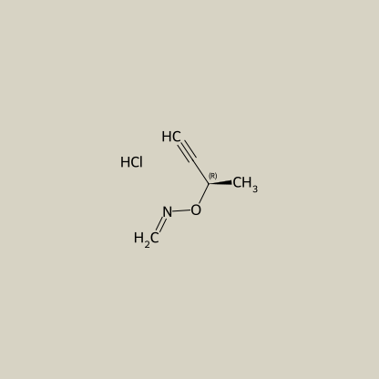 C#C[C@@H](C)ON=C.Cl